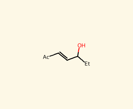 CCC(O)/C=C/C(C)=O